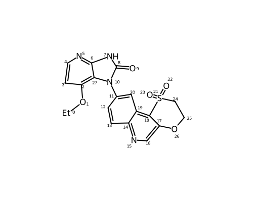 CCOc1ccnc2[nH]c(=O)n(-c3ccc4ncc5c(c4c3)S(=O)(=O)CCO5)c12